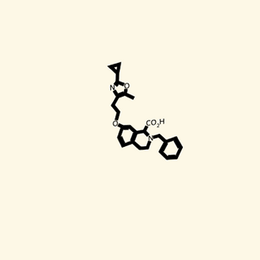 Cc1oc(C2CC2)nc1CCOc1ccc2c(c1)C(C(=O)O)N(Cc1ccccc1)CC2